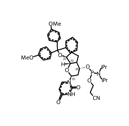 COc1ccc(C(O[C@H]2CCC3[C@H](OP(OCCC#N)N(C(C)C)C(C)C)C[C@@H](n4ccc(=O)[nH]c4=O)O[C@@H]32)(c2ccccc2)c2ccc(OC)cc2)cc1